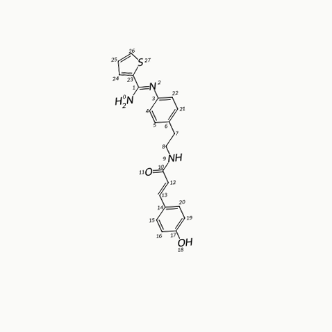 N/C(=N\c1ccc(CCNC(=O)/C=C/c2ccc(O)cc2)cc1)c1cccs1